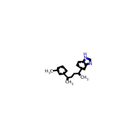 C=C(CCC(=C)c1ccc2[nH]cnc2c1)c1cccc(C)c1